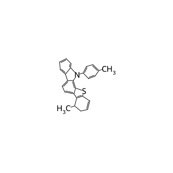 Cc1ccc(-n2c3ccccc3c3ccc4c5c(sc4c32)C=CCC5C)cc1